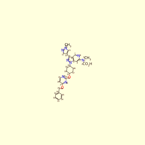 CN(C(=O)O)c1cc2c(cn1)c(-c1cnn(C)c1)nn2C1CCC(Oc2nccc(OCc3ccccc3)n2)CC1